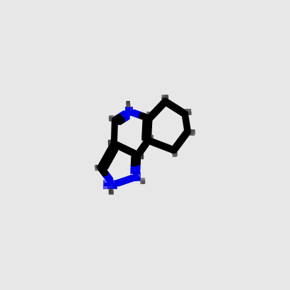 c1nc2c(c3n[nH]cc13)CCCC2